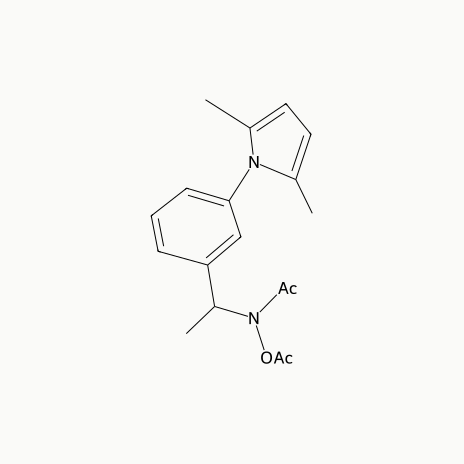 CC(=O)ON(C(C)=O)C(C)c1cccc(-n2c(C)ccc2C)c1